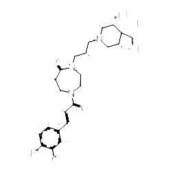 C[C@]1(CO)CCN(CCCN2CCN(C(=O)/C=C/c3ccc(F)c(Cl)c3)CCC2=O)C[C@@H]1O